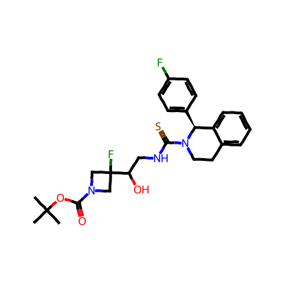 CC(C)(C)OC(=O)N1CC(F)(C(O)CNC(=S)N2CCc3ccccc3[C@@H]2c2ccc(F)cc2)C1